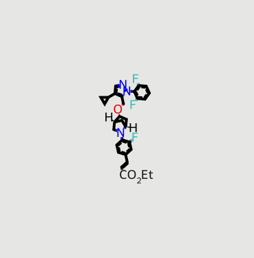 CCOC(=O)/C=C/c1ccc(N2C[C@@H]3C[C@H]2C[C@H]3OCc2c(C3CC3)cnn2-c2c(F)cccc2F)c(F)c1